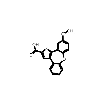 COc1ccc2c(c1)-c1sc(C(=O)O)cc1-c1ccccc1O2